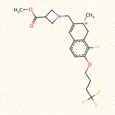 COC(=O)C1CN(CC2=Cc3ccc(OCCCC(F)(F)F)c(F)c3C[C@H]2C)C1